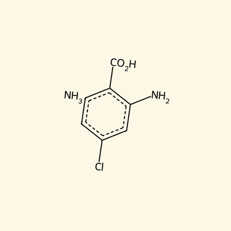 N.Nc1cc(Cl)ccc1C(=O)O